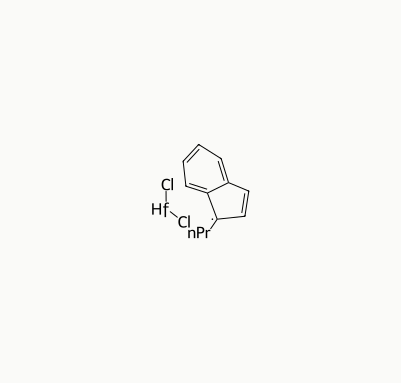 CCC[C]1C=Cc2ccccc21.[Cl][Hf][Cl]